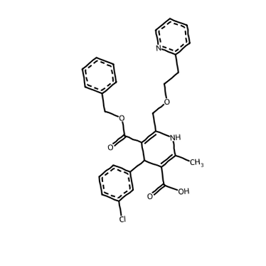 CC1=C(C(=O)O)C(c2cccc(Cl)c2)C(C(=O)OCc2ccccc2)=C(COCCc2ccccn2)N1